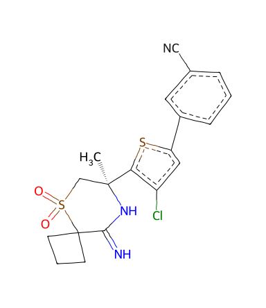 C[C@@]1(c2sc(-c3cccc(C#N)c3)cc2Cl)CS(=O)(=O)C2(CCC2)C(=N)N1